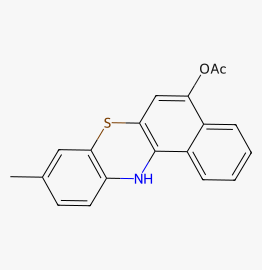 CC(=O)Oc1cc2c(c3ccccc13)Nc1ccc(C)cc1S2